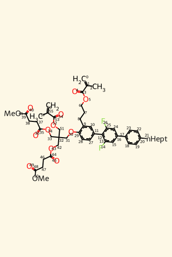 C=C(C)C(=O)OCCCc1cc(-c2c(F)cc(-c3ccc(CCCCCCC)cc3)cc2F)ccc1OCC(COC(=O)CCC(=O)OC)(COC(=O)CCC(=O)OC)COC(=O)C(=C)C